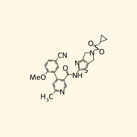 COc1ccc(C#N)cc1-c1cc(C)ncc1C(=O)Nc1nc2c(s1)CN(S(=O)(=O)C1CC1)C2